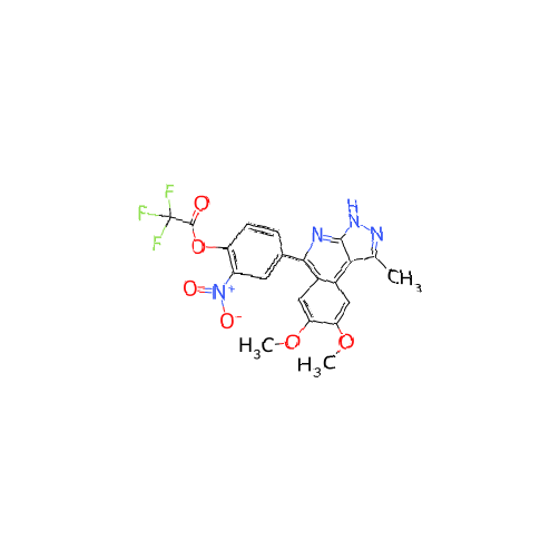 COc1cc2c(-c3ccc(OC(=O)C(F)(F)F)c([N+](=O)[O-])c3)nc3[nH]nc(C)c3c2cc1OC